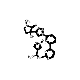 C[C@H](Nc1nccc(-c2cccc(-n3cc([C@]4(O)CCN(C)C4=O)nn3)n2)n1)c1cnn(C)c1